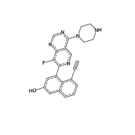 C#Cc1cccc2cc(O)cc(-c3ncc4c(N5CCNCC5)ncnc4c3F)c12